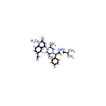 CC(C)c1nnc(C(c2ccc(F)cc2)N2CC(C)N(c3cc(=O)n(C)c4ccc(C#N)cc34)C[C@H]2C)s1